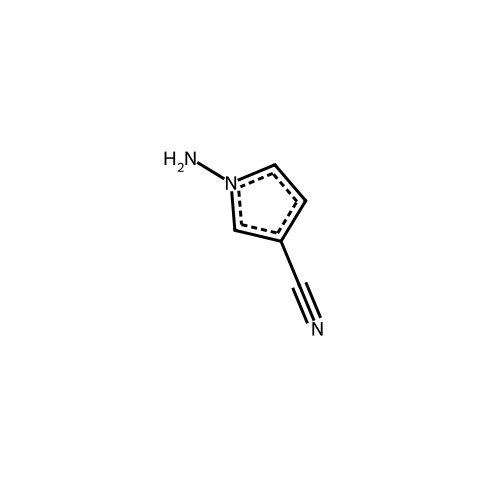 N#Cc1ccn(N)c1